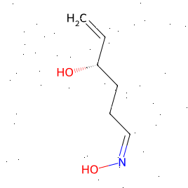 C=C[C@@H](O)CC/C=N\O